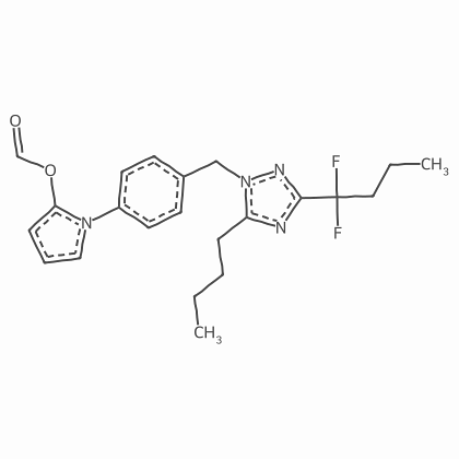 CCCCc1nc(C(F)(F)CCC)nn1Cc1ccc(-n2cccc2OC=O)cc1